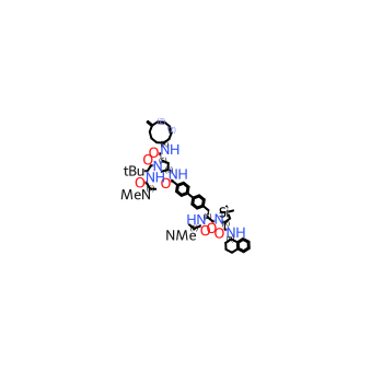 C=C1/C=C\C=C/C[C@H](NC(=O)[C@@H]2C[C@H](NC(=O)c3ccc(-c4ccc(C[C@H](NC(=O)[C@H](C)NC)C(=O)N5C[Si](C)(C)C[C@H]5C(=O)N[C@@H]5CCCc6ccccc65)cc4)cc3)CN2C(=O)C(NC(=O)[C@H](C)NC)C(C)(C)C)CCC1